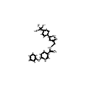 O=C(OCc1cc(-c2ccc(C(F)(F)F)cc2)no1)c1ccc(Oc2ccccc2)nc1